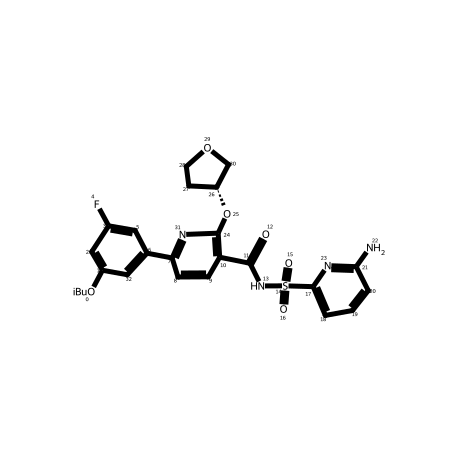 CC(C)COc1cc(F)cc(-c2ccc(C(=O)NS(=O)(=O)c3cccc(N)n3)c(O[C@@H]3CCOC3)n2)c1